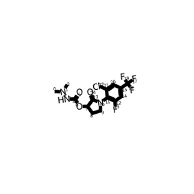 CN(C)NC(=O)OC1CCN(c2c(F)cc(C(F)(F)F)cc2Cl)C1=O